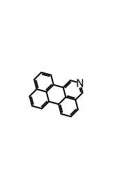 c1cc2cccc3c4cncc5cccc(c(c1)c23)c54